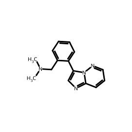 CN(C)Cc1ccccc1-c1cnc2cccnn12